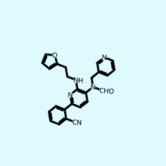 N#Cc1ccccc1-c1ccc(N(C=O)Cc2cccnc2)c(NCCc2ccco2)n1